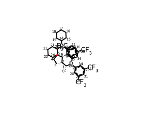 C[C@H]([C@@H]1CCC[C@@H]1c1ccccc1P(C1CCCCC1)C1CCCCC1)P(c1cc(C(F)(F)F)cc(C(F)(F)F)c1)c1cc(C(F)(F)F)cc(C(F)(F)F)c1